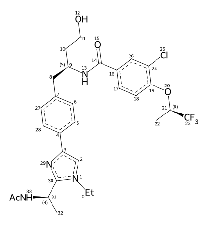 CCn1cc(-c2ccc(C[C@@H](CCO)NC(=O)c3ccc(O[C@H](C)C(F)(F)F)c(Cl)c3)cc2)nc1[C@@H](C)NC(C)=O